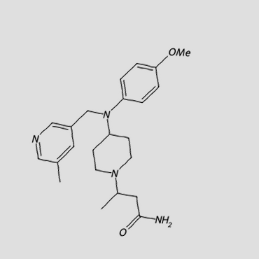 COc1ccc(N(Cc2cncc(C)c2)C2CCN(C(C)CC(N)=O)CC2)cc1